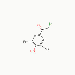 CC(C)c1cc(C(=O)CBr)cc(C(C)C)c1O